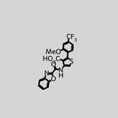 COc1cc(C(F)(F)F)ccc1-c1scc(NC(=O)c2nc3ccccc3o2)c1C(=O)O